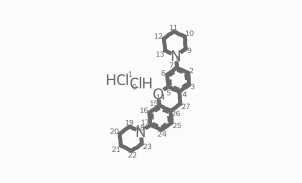 Cl.Cl.c1cc2c(cc1N1CCCCC1)Oc1cc(N3CCCCC3)ccc1C2